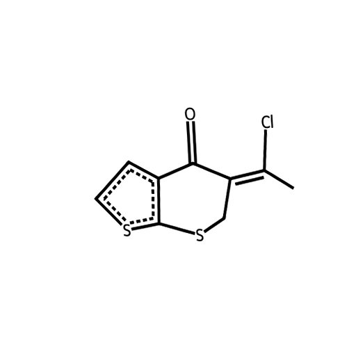 C/C(Cl)=C1\CSc2sccc2C1=O